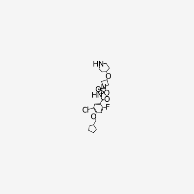 O=C(NS(=O)(=O)N1CC(OC2CCNCC2)C1)c1cc(Cl)c(OCC2CCCC2)cc1F